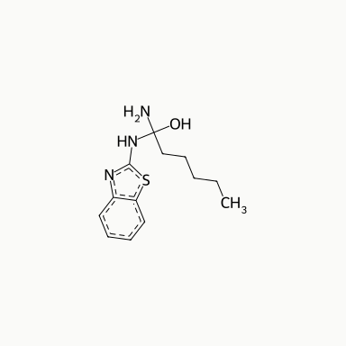 CCCCCC(N)(O)Nc1nc2ccccc2s1